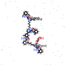 CCCCC[N+](CCCCCCN1CCC(c2cc(C)c(NC(=O)C3CCCCN3CCCCCC[N+](CCCCC)(CCOCCO)CC(=O)Nc3c(C)cccc3C)c(C)c2)CC1C(=O)Nc1c(C)cccc1C)(CCCOC)CC(=O)Nc1c(C)cccc1C